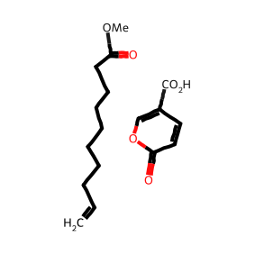 C=CCCCCCCCC(=O)OC.O=C(O)c1ccc(=O)oc1